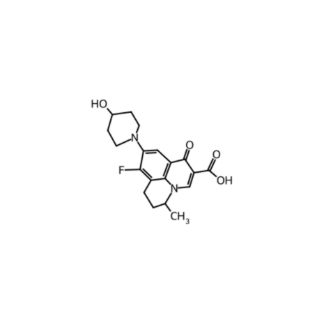 CC1CCc2c(F)c(N3CCC(O)CC3)cc3c(=O)c(C(=O)O)cn1c23